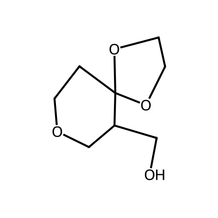 OCC1COCCC12OCCO2